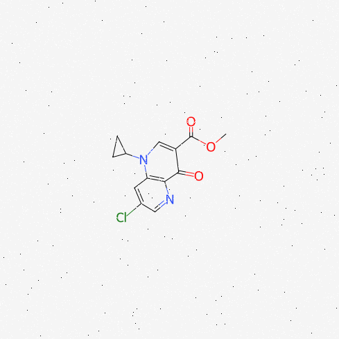 COC(=O)c1cn(C2CC2)c2cc(Cl)cnc2c1=O